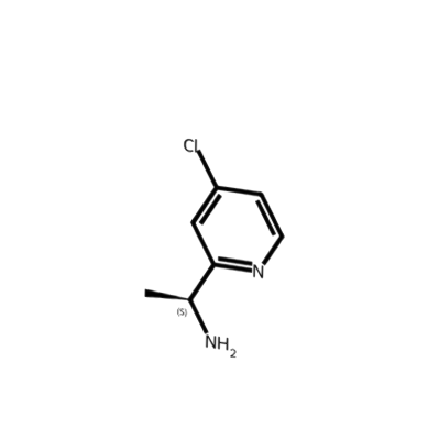 C[C@H](N)c1cc(Cl)ccn1